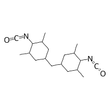 CC1CC(CC2CC(C)C(N=C=O)C(C)C2)CC(C)C1N=C=O